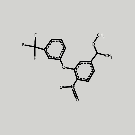 COC(C)c1ccc([N+](=O)[O-])c(Oc2cccc(C(F)(F)F)c2)c1